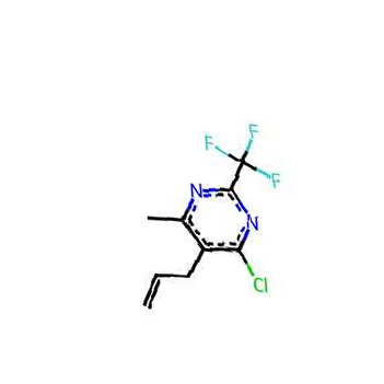 C=CCc1c(C)nc(C(F)(F)F)nc1Cl